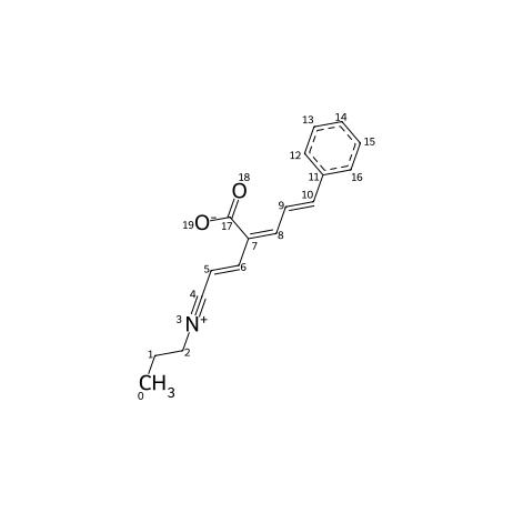 CCC[N+]#CC=CC(=CC=Cc1ccccc1)C(=O)[O-]